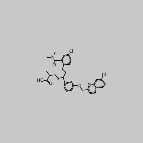 CC(CSC(CCc1ccc(Cl)cc1C(=O)N(C)C)c1cccc(OCc2ccc3ccc(Cl)cc3n2)c1)C(=O)O